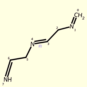 C=NC/C=N/CC=N